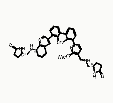 COc1nc(-c2cccc(-c3cccc(-c4cnc5c(c4)CCC[C@H]5NC[C@@H]4CCC(=O)N4)c3Cl)c2Cl)ccc1CNC[C@@H]1CCC(=O)N1